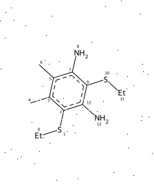 CCSc1c(C)c(C)c(N)c(SCC)c1N